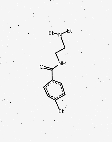 CCc1ccc(C(=O)NCCN(CC)CC)cc1